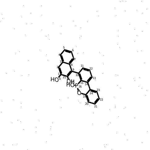 Oc1cc2ccccc2c(-c2cccc3c2P(O)Oc2ccccc2-3)c1O